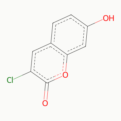 O=c1oc2cc(O)ccc2cc1Cl